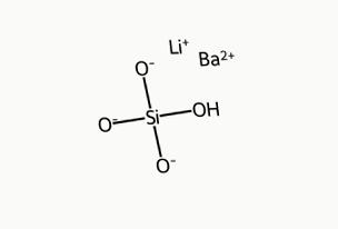 [Ba+2].[Li+].[O-][Si]([O-])([O-])O